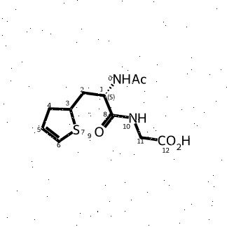 CC(=O)N[C@@H](CC1CC=CS1)C(=O)NCC(=O)O